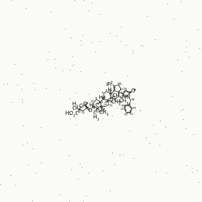 CC(C)C1=C2[C@H]3CC[C@@H]4[C@@]5(C)CC[C@H](OC(=O)CC(C)(C)C(=O)O)C(C)(C)[C@@H]5CC[C@@]4(C)[C@]3(C)CCC2(c2cc(=O)n(Cc3ccccc3)n2C)CC1